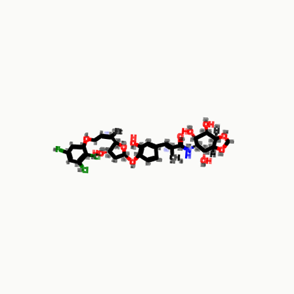 CC/C(=C/COc1cc(F)cc(Cl)c1Cl)[C@H]1O[C@@H](Oc2ccc(/C=C(\C)C(=O)N[C@@H]3[C@H](O)[C@@H](O)[C@H]4OCO[C@H]4[C@@H]3O)cc2O)C[C@@H]1O